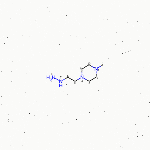 CN1CCN(CCNN)CC1